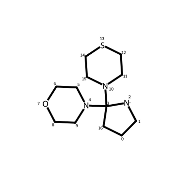 C1C[N]C(N2CCOCC2)(N2CCSCC2)C1